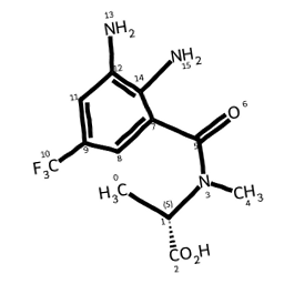 C[C@@H](C(=O)O)N(C)C(=O)c1cc(C(F)(F)F)cc(N)c1N